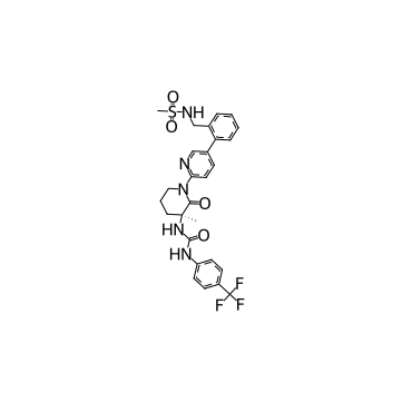 C[C@]1(NC(=O)Nc2ccc(C(F)(F)F)cc2)CCCN(c2ccc(-c3ccccc3CNS(C)(=O)=O)cn2)C1=O